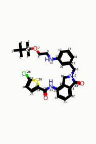 CC(C)(C)[Si](C)(C)OCCNc1cccc(CN2Cc3c(NC(=O)c4ccc(Cl)s4)cccc3C2=O)c1